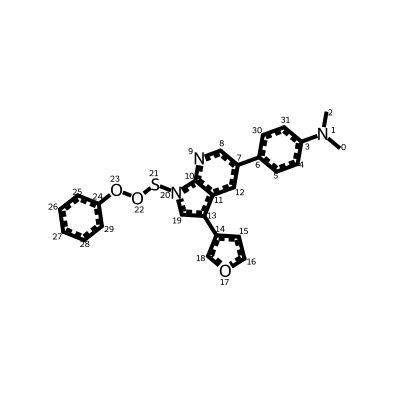 CN(C)c1ccc(-c2cnc3c(c2)c(-c2ccoc2)cn3SOOc2ccccc2)cc1